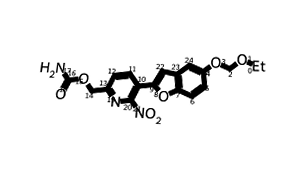 CCOCOc1ccc2oc(-c3ccc(COC(N)=O)nc3[N+](=O)[O-])cc2c1